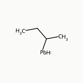 CC[CH](C)[PbH]